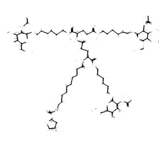 CC(=O)NC1C(OCCCCCCNC(=O)C(CCC(=O)NCCCCCCOC2O[C@H](CO)C(O)C(O)C2NC(C)=O)NC(=O)CCC(NC(=O)CCCCCCCCCNC(=O)[C@H]2C[C@@H](O)CO2)C(=O)NCCCCCCOC2OC(CO)C(O)C(O)C2NC(C)=O)OC(CO)C(O)C1O